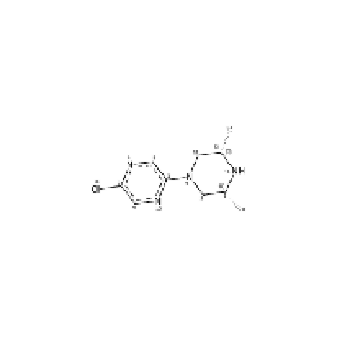 C[C@@H]1CN(c2cnc(Cl)cn2)C[C@H](C)N1